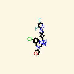 Fc1cnc(N2CC3(CC(c4nnc5n4-c4ccc(Cl)cc4CN([C@@H]4CCOC4)C5)C3)C2)c(F)c1